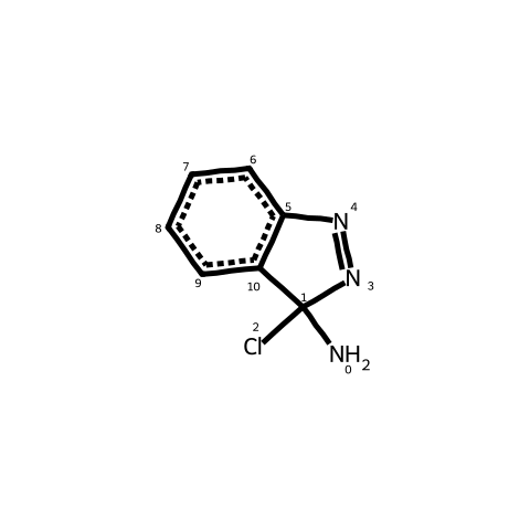 NC1(Cl)N=Nc2ccccc21